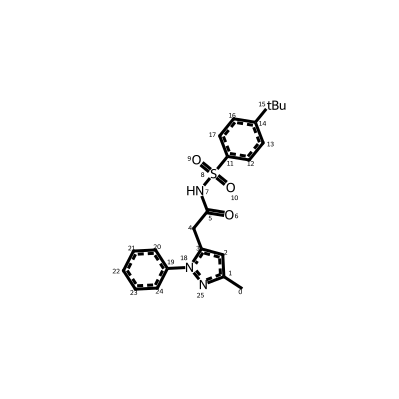 Cc1cc(CC(=O)NS(=O)(=O)c2ccc(C(C)(C)C)cc2)n(-c2ccccc2)n1